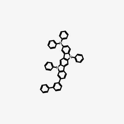 c1ccc(-c2cccc(-c3ccc4c5cc6c(cc5n(-c5ccccc5)c4c3)c3cc(N(c4ccccc4)c4ccccc4)ccc3n6-c3ccccc3)c2)cc1